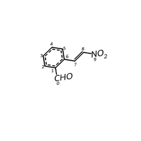 O=Cc1ccccc1/C=C/[N+](=O)[O-]